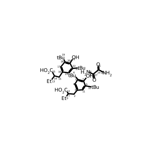 CCC(Cc1cc(C(C)(C)C)c(O)c(C(C)(C)C)c1)C(=O)O.CCC(Cc1cc(C(C)(C)C)c(O)c(C(C)(C)C)c1)C(=O)O.NC(=O)C(N)=O